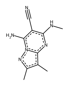 CNc1nc2c(C)c(C)nn2c(N)c1C#N